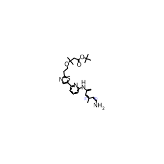 C=C(/C=C(C)\C=C/N)Nc1cccc(-c2cnc(CCOC(C)(C)CC(=O)OC(C)(C)C)s2)n1